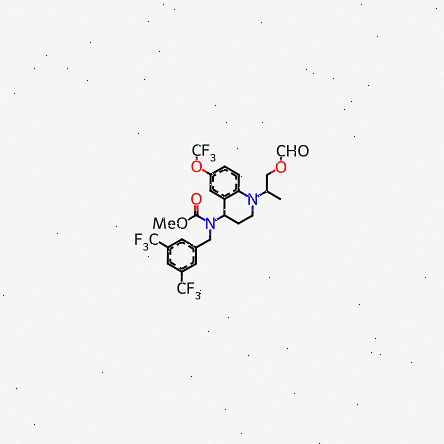 COC(=O)N(Cc1cc(C(F)(F)F)cc(C(F)(F)F)c1)C1CCN(C(C)COC=O)c2ccc(OC(F)(F)F)cc21